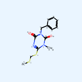 Cn1c(SCSC#N)nc(=O)n(Cc2ccccc2)c1=O